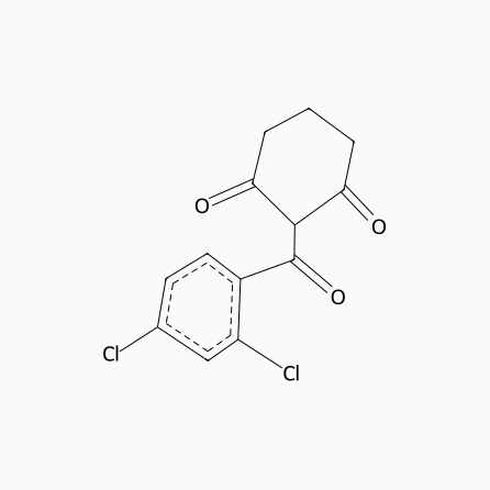 O=C1CCCC(=O)C1C(=O)c1ccc(Cl)cc1Cl